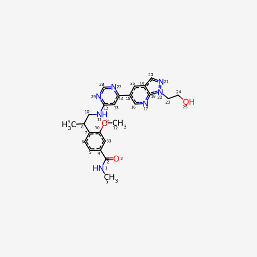 CNC(=O)c1ccc(C(C)CNc2cc(-c3cnc4c(cnn4CCO)c3)ncn2)c(OC)c1